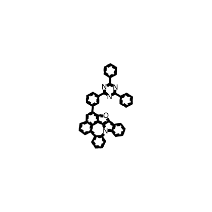 c1ccc(-c2nc(-c3ccccc3)nc(-c3cccc(-c4cc5cccc6c7ccccc7n7c8ccccc8c8oc4c(c56)c87)c3)n2)cc1